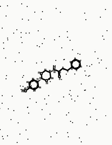 O=C(CCc1ccccc1)N[C@H]1CO[C@@H](c2ccc(O)cc2)OC1